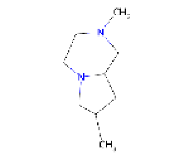 CC1CC2CN(C)CCN2C1